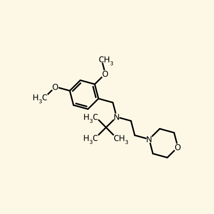 COc1ccc(CN(CCN2CCOCC2)C(C)(C)C)c(OC)c1